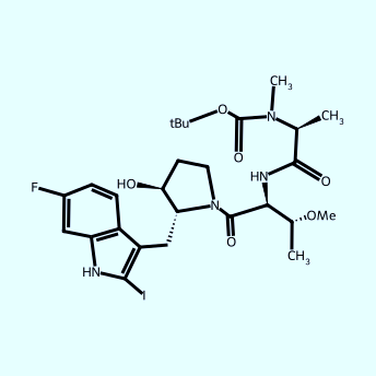 CO[C@H](C)[C@H](NC(=O)[C@H](C)N(C)C(=O)OC(C)(C)C)C(=O)N1CC[C@H](O)[C@H]1Cc1c(I)[nH]c2cc(F)ccc12